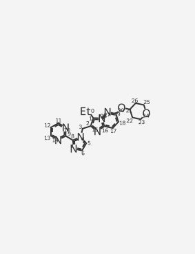 CCc1c(Cn2ccnc2-c2ncccn2)nc2ccc(OC3CCOCC3)nn12